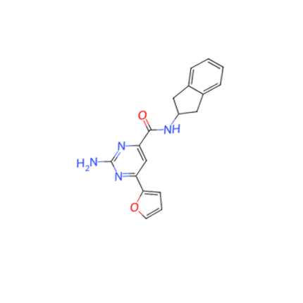 Nc1nc(C(=O)NC2Cc3ccccc3C2)cc(-c2ccco2)n1